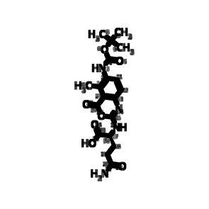 Cc1c(NC(=O)OC(C)(C)C)ccc2nc(N[C@@H](CCC(N)=O)C(=O)O)oc(=O)c12